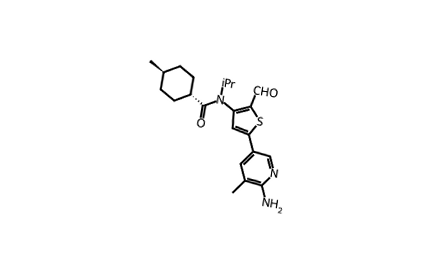 Cc1cc(-c2cc(N(C(=O)[C@H]3CC[C@H](C)CC3)C(C)C)c(C=O)s2)cnc1N